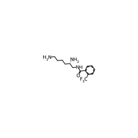 NCCCC[C@H](N)CNC(=O)c1ccccc1C(F)(F)F